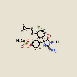 CN1C(=O)C(c2ccc(OS(C)(=O)=O)cc2)(c2ccc(F)c(C=CC3CC3)c2)N=C1N